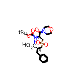 CC(C)(C)OC(=O)N[C@H](CS(=O)(=O)C[C@@H](Cc1ccccc1)C(=O)O)C(=O)N1CCOCC1